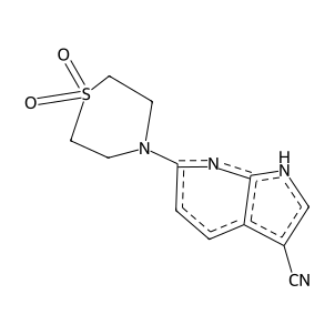 N#Cc1c[nH]c2nc(N3CCS(=O)(=O)CC3)ccc12